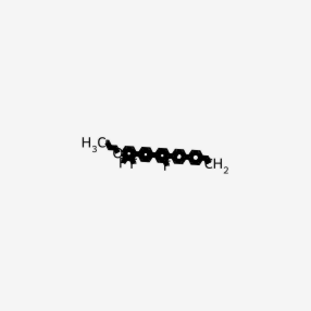 C=CC1CCC(C2CC=C(c3ccc(-c4ccc(-c5ccc(OCCCC)c(F)c5F)cc4)cc3F)CC2)CC1